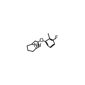 Cc1c(F)cccc1OC1CC2CCCC(C1)N2